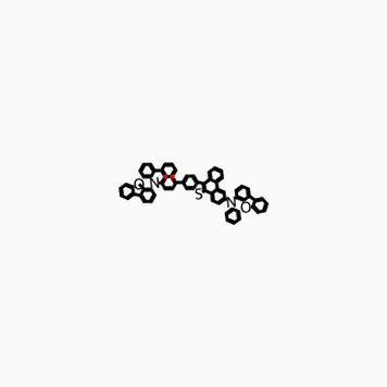 c1ccc(-c2ccccc2N(c2ccc(-c3ccc4c(c3)sc3c5ccc(N(c6ccccc6)c6cccc7c6oc6ccccc67)cc5c5ccccc5c43)cc2)c2cccc3c2oc2ccccc23)cc1